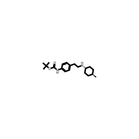 CC(C)(C)OC(=O)Nc1ccc(CCN[C@H]2CC[C@H](C)CC2)cc1